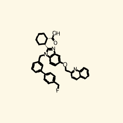 O=C(O)[C@H]1CCCC[C@H]1c1nc2cc(OCc3ccc4ccccc4n3)ccc2n1Cc1cccc(-c2ccc(CF)cc2)c1